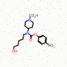 O=C(O)N1CCC(N(CCCCCO)C(=O)Oc2ccc([N+](=O)[O-])cc2)CC1